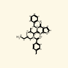 Cc1ccc(C(=O)N(CC(F)CN)C(c2nc3sccc3c(=O)n2Cc2ccccc2)C(C)C)cc1